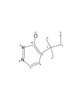 CC(C)(CI)c1ccnnc1Cl